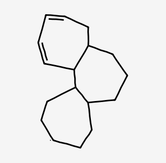 [CH]1CCC2CCCC3CC=CC=CC3C2CC1